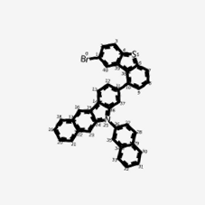 Brc1ccc2sc3cccc(-c4ccc5c6cc7ccccc7cc6n(-c6ccc7ccccc7c6)c5c4)c3c2c1